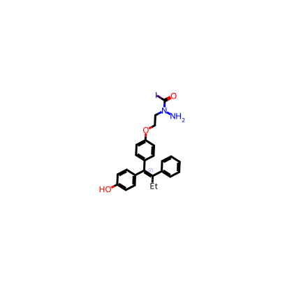 CC/C(=C(\c1ccc(O)cc1)c1ccc(OCCN(N)C(=O)I)cc1)c1ccccc1